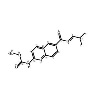 CN(C)C=NC(=O)c1ccc2nc(NC(=O)OC(C)(C)C)ccc2c1